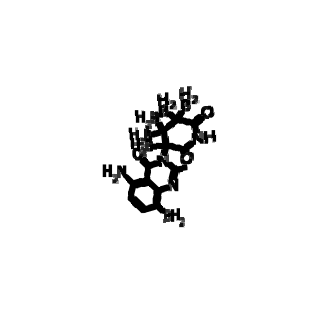 Bc1ccc(N)c2c(=O)n(C3(B)C(=O)NC(=O)C(B)(B)C3(B)B)c(C)nc12